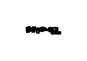 COc1cc(CCN2CCN(C(=O)Cc3ccc(-n4cnnn4)nc3)CC2)ccc1C#N